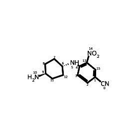 N#Cc1ccc(N[C@H]2CC[C@H](N)CC2)c([N+](=O)[O-])c1